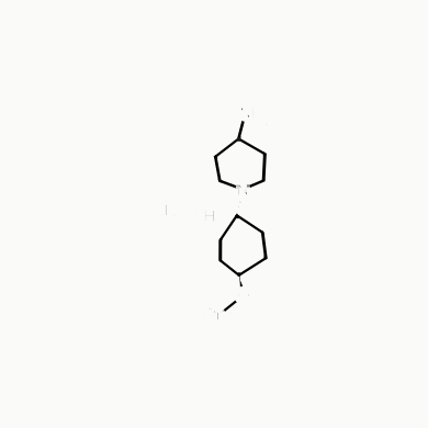 CC(C)O[C@H]1CC[C@H](N2CCC(N)CC2)CC1.Cl.Cl